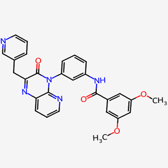 COc1cc(OC)cc(C(=O)Nc2cccc(-n3c(=O)c(Cc4cccnc4)nc4cccnc43)c2)c1